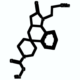 COCCN1C(=O)CC2CC3(CCN(C(=O)OC(C)(C)C)CC3)c3ccccc3C21